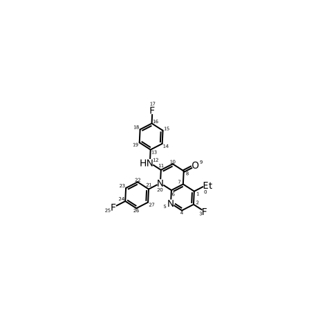 CCc1c(F)cnc2c1c(=O)cc(Nc1ccc(F)cc1)n2-c1ccc(F)cc1